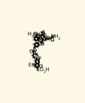 CCn1cc(C(=O)O)c(=O)c2cc(F)c(N3CCN(C(=O)OCc4ccc(NC(=O)[C@H](CCCNC(N)=O)NC(=O)C5(C(=O)N[C@@H](C)c6ccccc6)CCC5)cc4)CC3)cc21